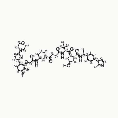 Cc1ncsc1-c1ccc([C@H](C)NC(=O)[C@@H]2C[C@@H](O)CN2C(=O)[C@@H](NC(=O)CCC(=O)N2CCCC(NC(=O)COc3c(-c4csc(N5CCOCC5)n4)ccc(F)c3F)C2)C(C)(C)C)cc1